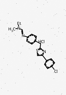 CCN(C)C=Nc1ccc(Cc2nc(-c3ccc(Cl)cc3)cs2)cc1.Cl